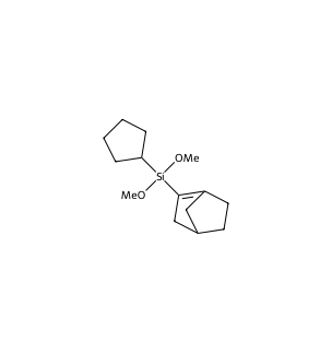 CO[Si](OC)(C1=C2CCC(C2)C1)C1CCCC1